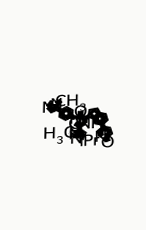 CC(C)n1cc(-c2ccc3c(c2)C(C(NC(=O)c2ccnn2C)C(=O)Nc2ccc(-c4cncn4C)cc2)CC3)ccc1=O